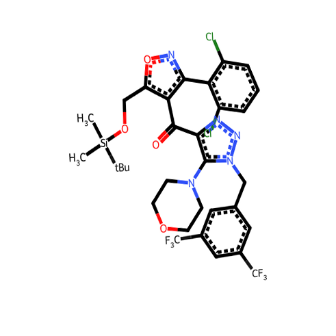 CC(C)(C)[Si](C)(C)OCc1onc(-c2c(Cl)cccc2Cl)c1C(=O)c1nnn(Cc2cc(C(F)(F)F)cc(C(F)(F)F)c2)c1N1CCOCC1